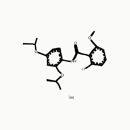 COc1cccc(Cl)c1C(=O)Pc1ccc(OC(C)C)cc1OC(C)C.[LiH]